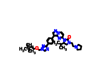 CC(C)C1CN(CCN2CCCC2)C(=O)N1c1ccn2ncc(-c3ccc(-c4ncn(COCC[Si](C)(C)C)n4)cc3)c2n1